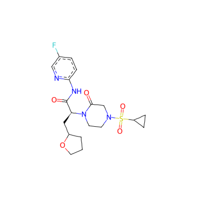 O=C(Nc1ccc(F)cn1)[C@H](CC1CCCO1)N1CCN(S(=O)(=O)C2CC2)CC1=O